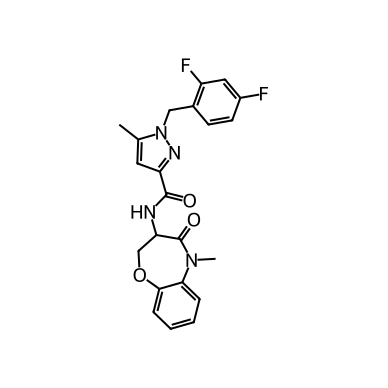 Cc1cc(C(=O)NC2COc3ccccc3N(C)C2=O)nn1Cc1ccc(F)cc1F